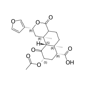 CC(=O)O[C@H]1C[C@@H](C(=O)O)[C@]2(C)CCC3C(=O)O[C@@H](c4ccoc4)C[C@]3(C)[C@H]2C1=O